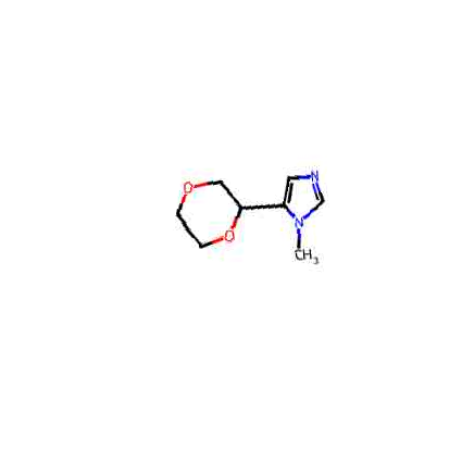 Cn1cncc1C1COCCO1